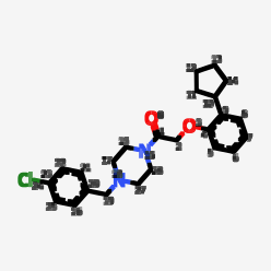 O=C(COc1ccccc1C1CCCC1)N1CCN(Cc2ccc(Cl)cc2)CC1